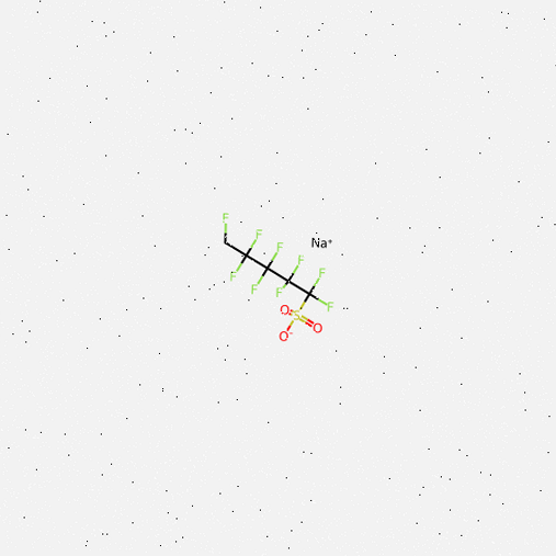 O=S(=O)([O-])C(F)(F)C(F)(F)C(F)(F)C(F)(F)CF.[Na+]